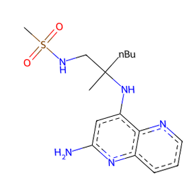 CCCCC(C)(CNS(C)(=O)=O)Nc1cc(N)nc2cccnc12